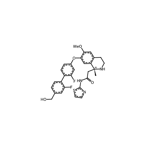 COc1cc2c(cc1Oc1ccc(-c3ccc(CO)cc3F)c(F)c1)[C@@](C)(CC(=O)Nc1nccs1)NCC2